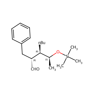 CCCC[C@H]([C@H](C=O)Cc1ccccc1)[C@H](C)O[Si](C)(C)C